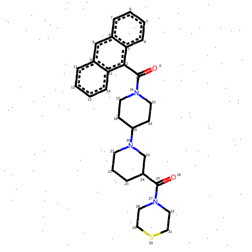 O=C(c1c2ccccc2cc2ccccc12)N1CCC(N2CCCC(C(=O)N3CCSCC3)C2)CC1